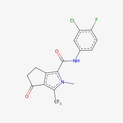 Cn1c(C(=O)Nc2ccc(F)c(Cl)c2)c2c(c1C(F)(F)F)C(=O)CC2